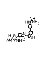 CNC(=N)N(C)c1ccc2nc(-c3c[nH]c4ccc(-c5ccc(NC(=N)N)cc5)cc34)[nH]c2c1